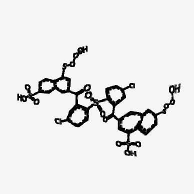 O=C(c1cc(SOOO)c2ccc(S(=O)(=O)O)cc2c1)c1cc(Cl)ccc1S(=O)(=O)c1ccc(Cl)cc1C(=O)c1cc(S(=O)(=O)O)c2ccc(SOOO)cc2c1